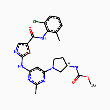 Cc1nc(Nc2ncc(C(=O)Nc3c(C)cccc3Cl)s2)cc(N2CC[C@@H](NC(=O)OC(C)(C)C)C2)n1